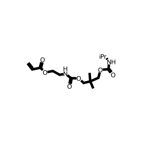 C=CC(=O)OCCNC(=O)OCC(C)(C)COC(=O)NC(C)C